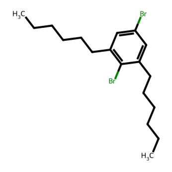 CCCCCCc1cc(Br)cc(CCCCCC)c1Br